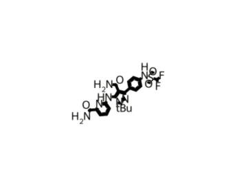 CC(C)(C)n1nc(-c2ccc(NS(=O)(=O)C(F)F)cc2)c(C(N)=O)c1Nc1cccc(C(N)=O)n1